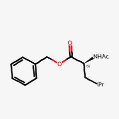 CC(=O)N[C@@H](CC(C)C)C(=O)OCc1ccccc1